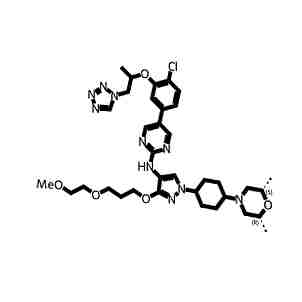 COCCOCCCOc1nn(C2CCC(N3C[C@@H](C)O[C@@H](C)C3)CC2)cc1Nc1ncc(-c2ccc(Cl)c(OC(C)Cn3cnnn3)c2)cn1